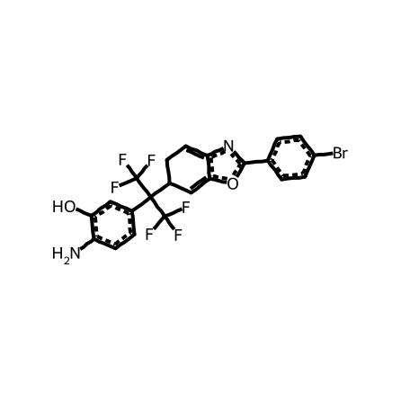 Nc1ccc(C(C2C=c3oc(-c4ccc(Br)cc4)nc3=CC2)(C(F)(F)F)C(F)(F)F)cc1O